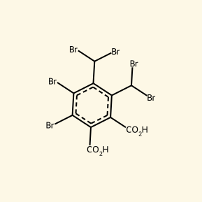 O=C(O)c1c(Br)c(Br)c(C(Br)Br)c(C(Br)Br)c1C(=O)O